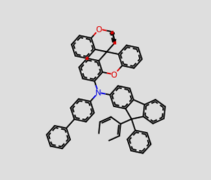 C/C=C\C(=C/C)C1(c2ccccc2)c2ccccc2-c2ccc(N(c3ccc(-c4ccccc4)cc3)c3cccc4c3Oc3ccccc3C43c4ccccc4Oc4ccccc43)cc21